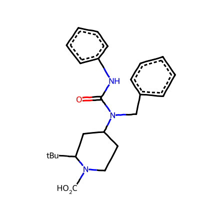 CC(C)(C)C1CC(N(Cc2ccccc2)C(=O)Nc2ccccc2)CCN1C(=O)O